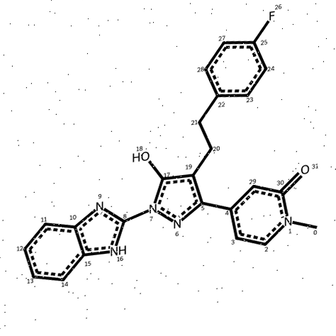 Cn1ccc(-c2nn(-c3nc4ccccc4[nH]3)c(O)c2CCc2ccc(F)cc2)cc1=O